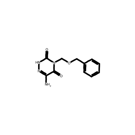 Nc1n[nH]c(=O)n(COCc2ccccc2)c1=O